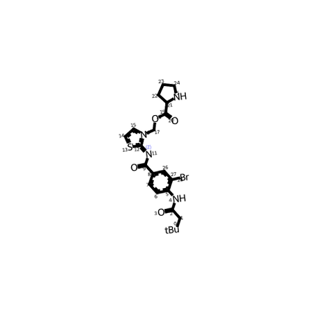 CC(C)(C)CC(=O)Nc1ccc(C(=O)/N=c2\sccn2COC(=O)C2CCCN2)cc1Br